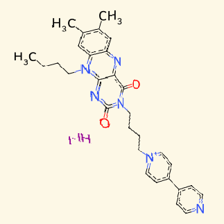 CCCCn1c2nc(=O)n(CCCC[n+]3ccc(-c4ccncc4)cc3)c(=O)c-2nc2cc(C)c(C)cc21.I.[I-]